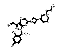 C=Cc1nn([C@H](C)c2ccc(Cl)cc2Cl)c2nc(N3CC([C@H]4CCCN(CCO)C4)C3)cnc12